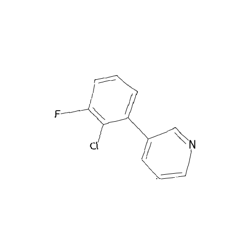 Fc1cccc(-c2c[c]cnc2)c1Cl